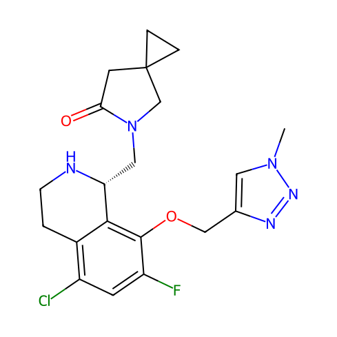 Cn1cc(COc2c(F)cc(Cl)c3c2[C@@H](CN2CC4(CC4)CC2=O)NCC3)nn1